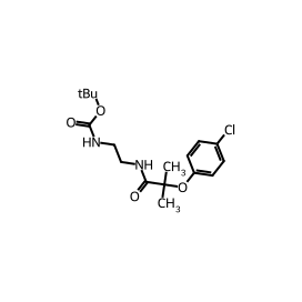 CC(C)(C)OC(=O)NCCNC(=O)C(C)(C)Oc1ccc(Cl)cc1